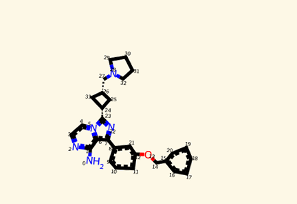 Nc1nccn2c1c(-c1cccc(OCc3ccccc3)c1)nc2[C@H]1C[C@@H](CN2CCCC2)C1